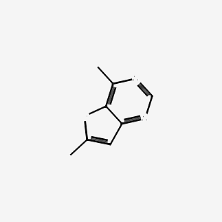 Cc1cc2ncnc(C)c2o1